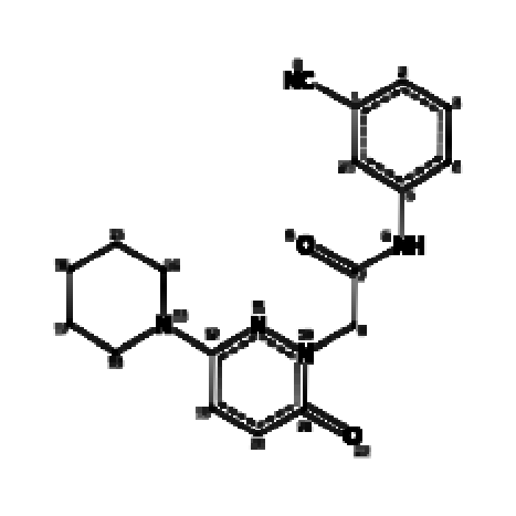 N#Cc1cccc(NC(=O)Cn2nc(N3CCCCC3)ccc2=O)c1